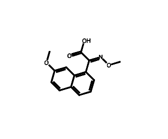 CO/N=C(/C(=O)O)c1cccc2ccc(OC)cc12